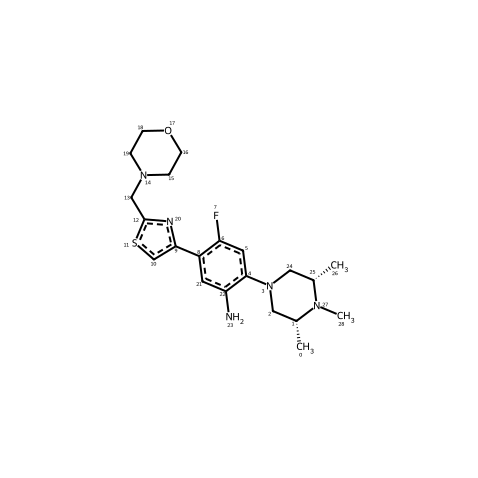 C[C@@H]1CN(c2cc(F)c(-c3csc(CN4CCOCC4)n3)cc2N)C[C@H](C)N1C